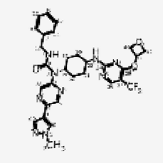 Cn1cc(-c2cnc(N(C(=O)NCc3ccccc3)[C@H]3CC[C@H](Nc4ncc(C(F)(F)F)c(OC5COC5)n4)CC3)cn2)cn1